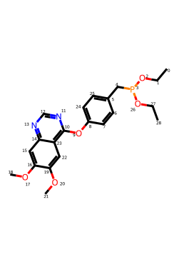 CCOP(Cc1ccc(Oc2ncnc3cc(OC)c(OC)cc23)cc1)OCC